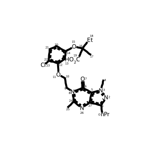 CCCc1nn(C)c2c(=O)n(CCOc3cc(OC(C)(CC)C(=O)O)ccc3Cl)c(C)nc12